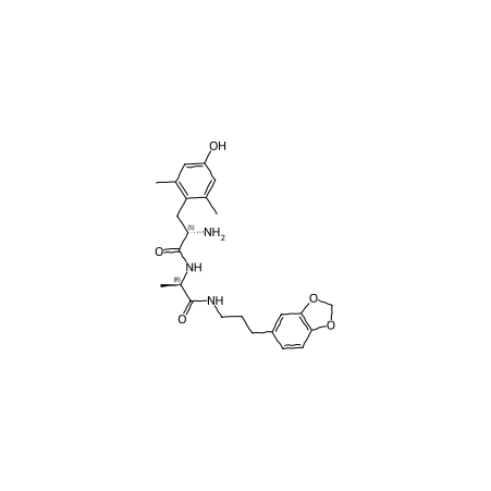 Cc1cc(O)cc(C)c1C[C@H](N)C(=O)N[C@H](C)C(=O)NCCCc1ccc2c(c1)OCO2